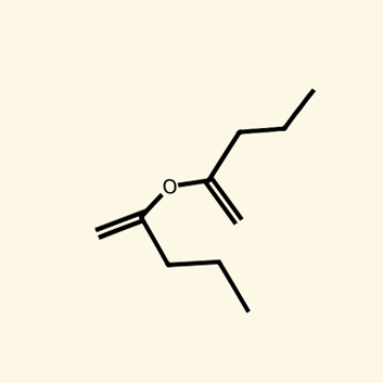 C=C(CCC)OC(=C)CCC